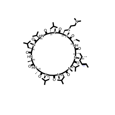 C/C=C/C[C@@H](C)C[C@H]1C(=O)N[C@@H](CC)C(=O)N(C)[C@H](CSCCN(C)C)C(=O)N(C)[C@@H](CC(C)C)C(=O)N[C@H](C(C)C)C(=O)N(C)[C@H](CC(C)C)C(=O)N[C@H](C)C(=O)N[C@@H](C)C(=O)N(C)[C@@H](CC(C)C)C(=O)N(C)[C@H](CC(C)C)C(=O)N(C)[C@H](C(C)C)C(=O)N1C